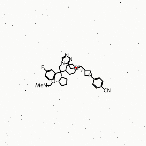 CNCO[C@H]1CCC[C@@H]1C(Cn1cnnc1CC(F)(F)F)(c1cccc(F)c1)C1CCN(CC2CN(c3ccc(C#N)cc3)C2)CC1